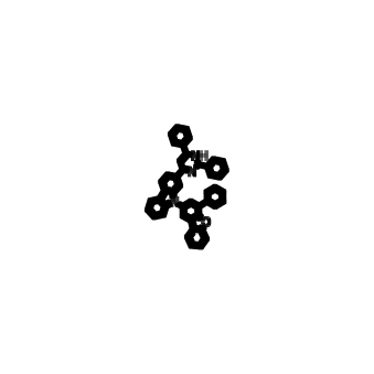 C1=C(c2ccccc2)NC(c2ccccc2)N=C1c1ccc2c3ccccc3n(-c3cc(-c4ccccc4)c4oc5ccccc5c4c3)c2c1